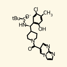 Cc1cc(O)c([C@H](N[S+]([O-])C(C)(C)C)C2CCN(C(=O)c3cnc4nccn4c3)CC2)cc1Cl